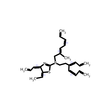 C=C/C=C\C=C(/C)CN(CCC(/C=C\C=C)=C/C=C)c1nc(=C/C=C)/c(=C\C)s1